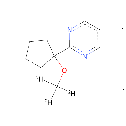 [2H]C([2H])([2H])OC1(c2ncccn2)CCCC1